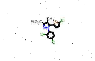 CCOC(=O)c1nn(-c2ccc(Cl)cc2Cl)c(-c2ccc(Cl)s2)c1C